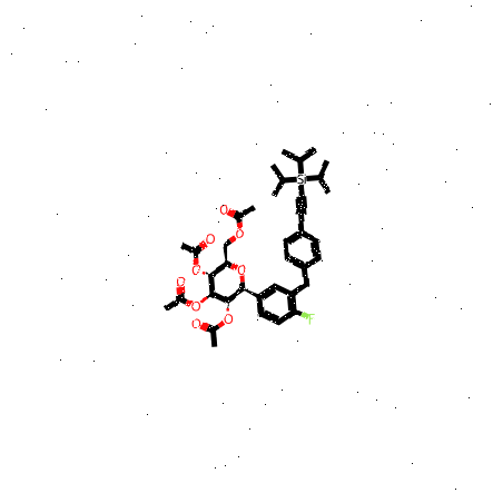 CC(=O)OC[C@H]1O[C@@H](c2ccc(F)c(Cc3ccc(C#C[Si](C(C)C)(C(C)C)C(C)C)cc3)c2)[C@H](OC(C)=O)[C@@H](OC(C)=O)[C@@H]1OC(C)=O